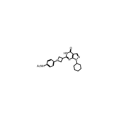 CC(=O)Nc1ccc(N2CC(c3nc4c(cnn4C4CCCCC4)c(=O)[nH]3)C2)cc1